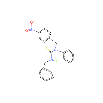 O=[N+]([O-])c1ccc(CN(C(=S)N(F)Cc2ccccc2)c2ccccc2)cc1